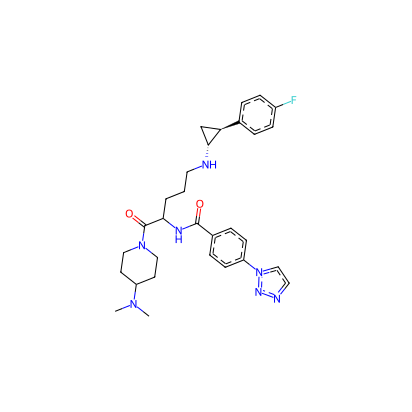 CN(C)C1CCN(C(=O)C(CCCN[C@@H]2C[C@H]2c2ccc(F)cc2)NC(=O)c2ccc(-n3ccnn3)cc2)CC1